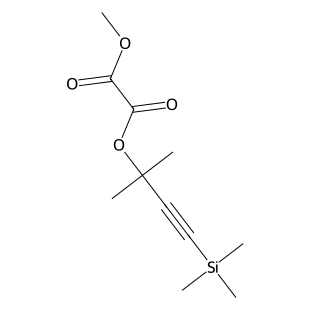 COC(=O)C(=O)OC(C)(C)C#C[Si](C)(C)C